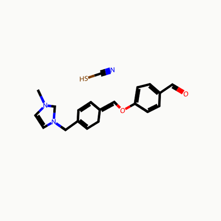 CN1C=CN(CC2=CCC(=COc3ccc(C=O)cc3)C=C2)C1.N#CS